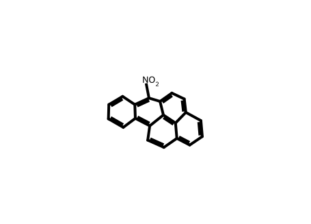 O=[N+]([O-])c1c2ccccc2c2ccc3cccc4ccc1c2c43